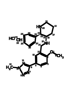 COc1ccc(-c2nnn(C)n2)cc1CN[C@H]1CCCN[C@H]1c1ccccc1.Cl.Cl